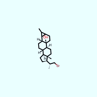 CC1C2[C@H]3CC[C@@H]4[C@H](CC[C@]5(C)[C@@H]([C@@H](C)CBr)CC[C@@H]45)[C@@]3(C)CC[C@]12O